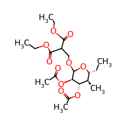 CCOC(=O)C(COC1O[C@H](CC)[C@@H](C)[C@H](OC(C)=O)[C@H]1OC(C)=O)C(=O)OCC